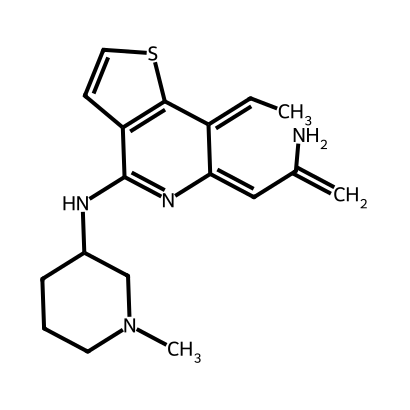 C=C(N)/C=c1/nc(NC2CCCN(C)C2)c2ccsc2/c1=C/C